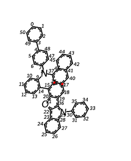 c1ccc(-c2ccc(N(c3ccccc3-c3cccc4c3oc3c5ccccc5n(-c5ccccc5)c43)c3cccc4ccccc34)cc2)cc1